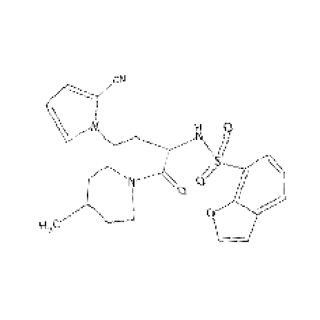 CC1CCN(C(=O)C(CCn2cccc2C#N)NS(=O)(=O)c2cccc3ccoc23)CC1